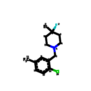 CCC1(F)CCN(Cc2cc(C(F)(F)F)ccc2Cl)CC1